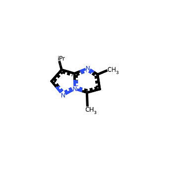 Cc1cc(C)n2ncc(C(C)C)c2n1